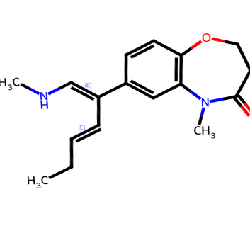 CC/C=C/C(=C\NC)c1ccc2c(c1)N(C)C(=O)CCO2